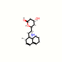 C[C@H]1C=CC2=CCCC[C@]2(N)C1CCC1C[C@@H](O)CC(=O)O1